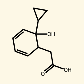 O=C(O)CC1C=CC=CC1(O)C1CC1